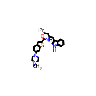 CC(C)CCC(Cc1c[nH]c2ccccc12)NC(=O)c1cc2ccc(N3CCN(C)CC3)cc2s1